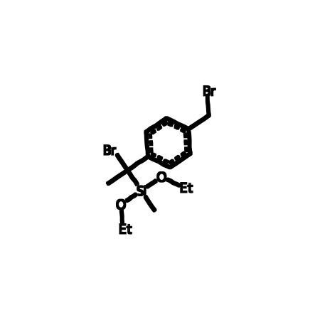 CCO[Si](C)(OCC)C(C)(Br)c1ccc(CBr)cc1